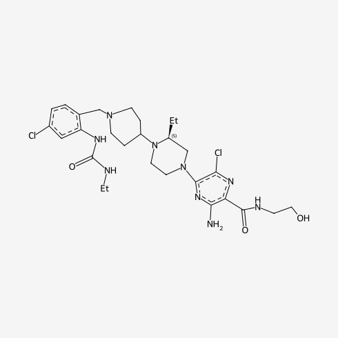 CCNC(=O)Nc1cc(Cl)ccc1CN1CCC(N2CCN(c3nc(N)c(C(=O)NCCO)nc3Cl)C[C@@H]2CC)CC1